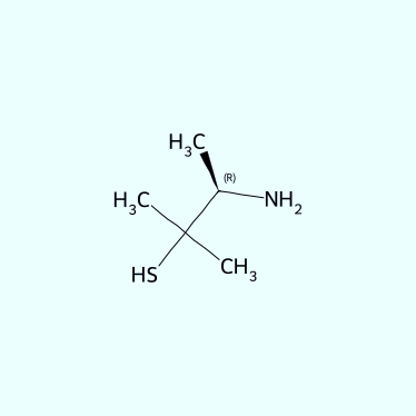 C[C@@H](N)C(C)(C)S